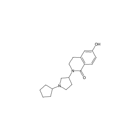 O=C1c2ccc(O)cc2CCN1C1CCN(C2CCCC2)C1